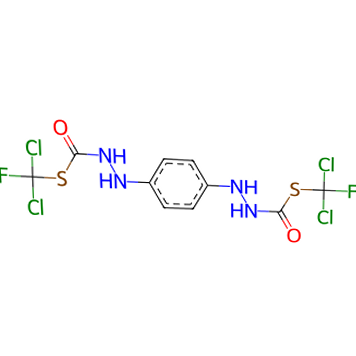 O=C(NNc1ccc(NNC(=O)SC(F)(Cl)Cl)cc1)SC(F)(Cl)Cl